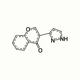 O=c1c(-c2cc[nH]n2)coc2ccccc12